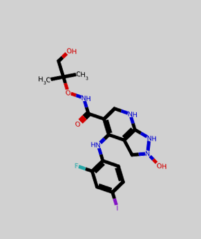 CC(C)(CO)ONC(=O)C1=C(Nc2ccc(I)cc2F)C2=C(NC1)NN(O)C2